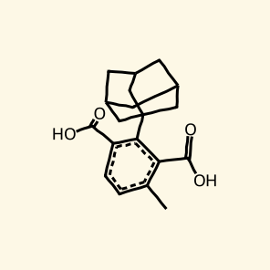 Cc1ccc(C(=O)O)c(C23CC4CC(CC(C4)C2)C3)c1C(=O)O